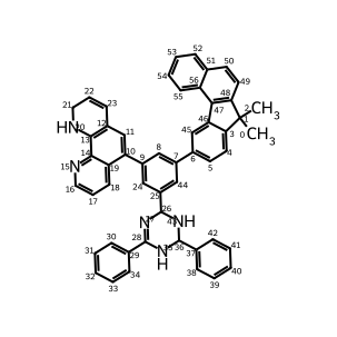 CC1(C)c2ccc(-c3cc(-c4cc5c(c6ncccc46)NCC=C5)cc(C4N=C(c5ccccc5)NC(c5ccccc5)N4)c3)cc2-c2c1ccc1ccccc21